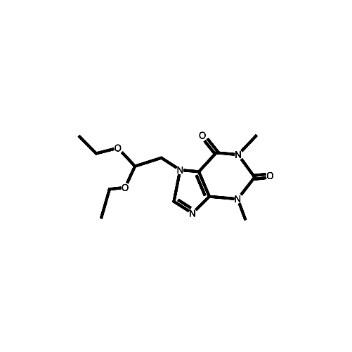 CCOC(Cn1cnc2c1c(=O)n(C)c(=O)n2C)OCC